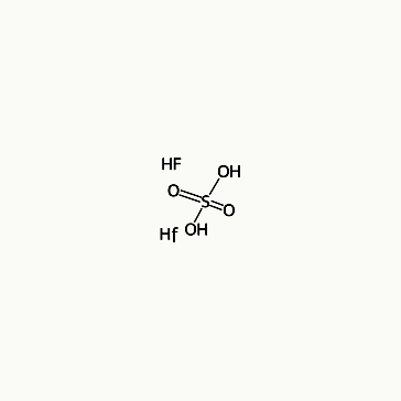 F.O=S(=O)(O)O.[Hf]